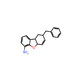 Nc1cccc2c1OC1C=CC(Cc3ccccc3)CC21